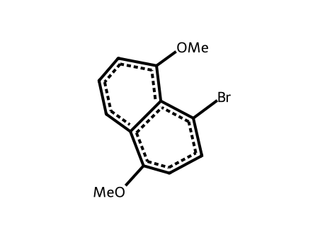 COc1ccc(Br)c2c(OC)cccc12